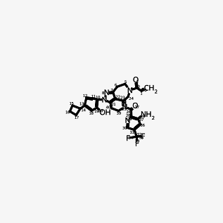 C=CC(=O)N1CCc2nn(-c3ccc(C4CCC4)cc3O)c3c2[C@H](C1)N(C(=O)c1ncc(C(F)(F)F)cc1N)CC3